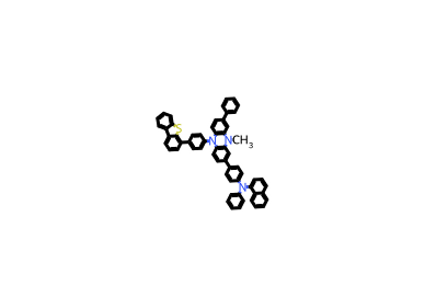 CN1c2cc(-c3ccccc3)ccc2N(c2ccc(-c3cccc4c3sc3ccccc34)cc2)c2ccc(-c3ccc(N(c4ccccc4)c4cccc5ccccc45)cc3)cc21